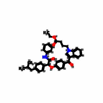 CCOC(=O)CCCn1cc(C(=O)c2ccc(OC(C(=O)Nc3ccccc3)c3ccc(CC(C)C)cc3)cc2)c2ccccc21